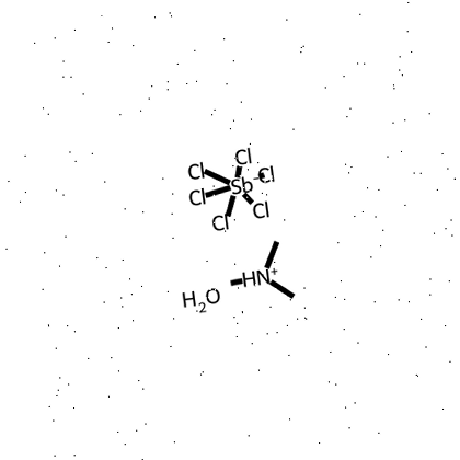 C[NH+](C)C.O.[Cl][Sb-]([Cl])([Cl])([Cl])([Cl])[Cl]